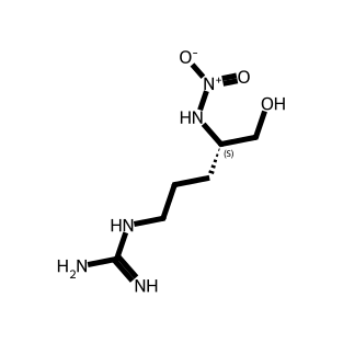 N=C(N)NCCC[C@@H](CO)N[N+](=O)[O-]